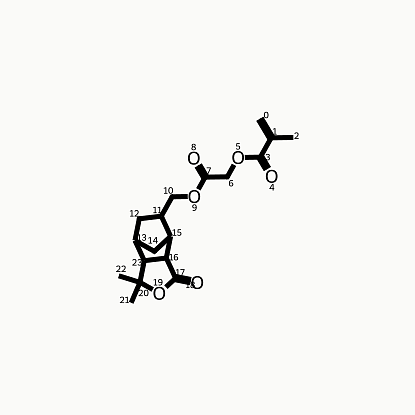 C=C(C)C(=O)OCC(=O)OCC1CC2CC1C1C(=O)OC(C)(C)C21